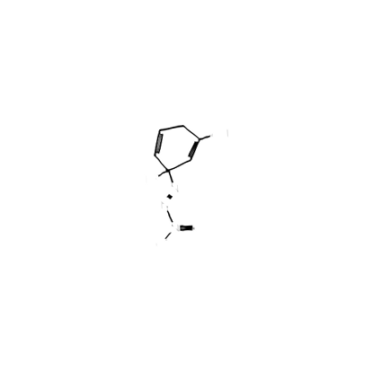 O=[N+]([O-])/N=N/C1(O)C=CCC(O)=C1